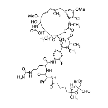 COc1cc2cc(c1Cl)N(C)C(=O)C[C@H](OC(=O)[C@H](C)N(C)C(=O)c1ccc(NC(=O)[C@H](CCCNC(N)=O)NC(=O)[C@@H](NC(=O)CCCCC(C)(C)OC(C=O)(CBr)CBr)C(C)C)c(F)c1)[C@]1(C)O[C@H]1[C@H](C)[C@@H]1C[C@@](O)(NC(=O)O1)[C@H](OC)/C=C/C=C(\C)C2